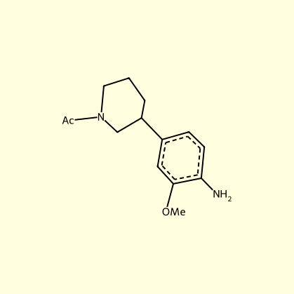 COc1cc(C2CCCN(C(C)=O)C2)ccc1N